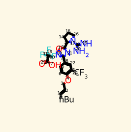 CCCCC=CCOc1ccc(-c2noc(C3CCCN3C(=N)N)n2)cc1C(F)(F)F.O=C(O)C(F)(F)F